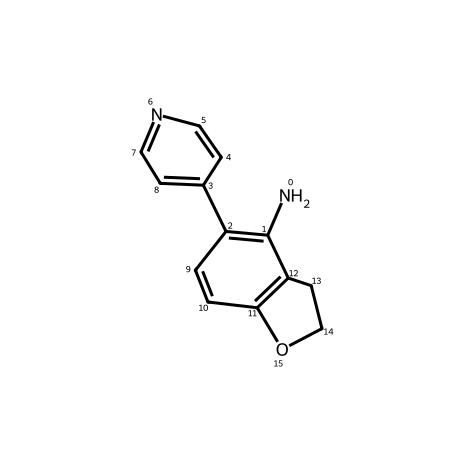 Nc1c(-c2ccncc2)ccc2c1CCO2